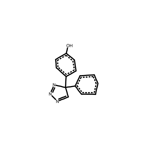 Oc1ccc(C2(c3ccccc3)C=NN=N2)cc1